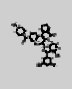 CC(c1oc(=O)c2ccccc2c1-c1ccc(C(=O)N2CCN(C)CC2)cc1)n1nc(-c2cc(O)cc(F)c2)c2c(N)ncnc21